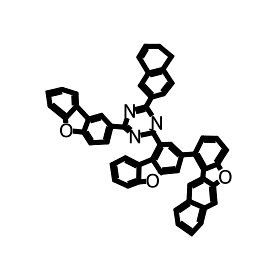 C1=Cc2cc(-c3nc(-c4ccc5oc6ccccc6c5c4)nc(-c4cc(-c5cccc6oc7cc8ccccc8cc7c56)cc5oc6ccccc6c45)n3)ccc2CC1